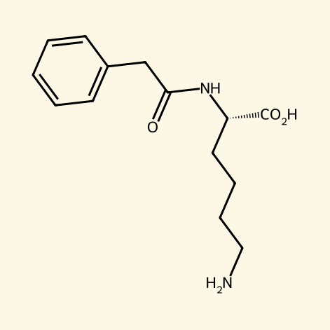 NCCCC[C@H](NC(=O)Cc1ccccc1)C(=O)O